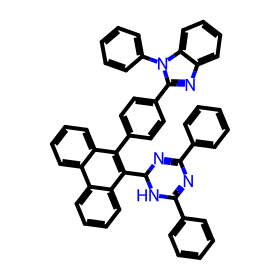 c1ccc(C2=NC(c3c(-c4ccc(-c5nc6ccccc6n5-c5ccccc5)cc4)c4ccccc4c4ccccc34)NC(c3ccccc3)=N2)cc1